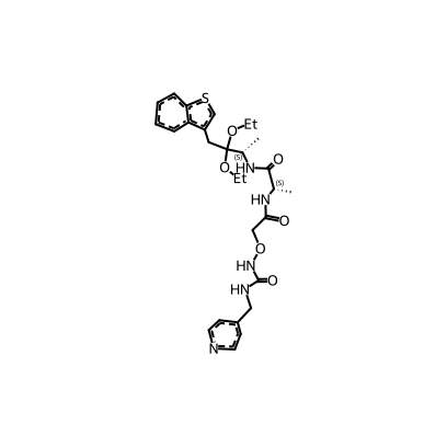 CCOC(Cc1csc2ccccc12)(OCC)[C@H](C)NC(=O)[C@H](C)NC(=O)CONC(=O)NCc1ccncc1